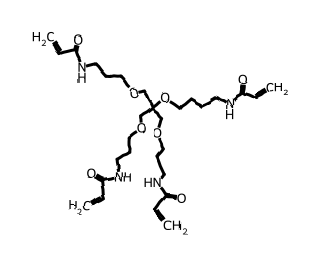 C=CC(=O)NCCCCOC(COCCCNC(=O)C=C)(COCCCNC(=O)C=C)COCCCNC(=O)C=C